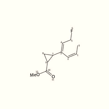 C/C=C\C(=C/CF)C1CC1C(=O)OC